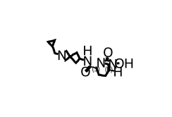 O=C(NC1CC2(C1)CN(CC1CC1)C2)[C@@H]1CC[C@@H]2CN1C(=O)N2O